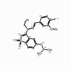 COc1cc(/C=N/N(CC(C)C)C2=NS(=O)(=O)c3ccc(OB(O)O)cc32)ccc1F